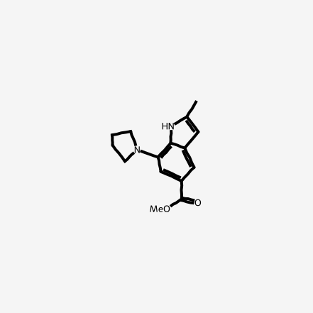 COC(=O)c1cc(N2CCCC2)c2[nH]c(C)cc2c1